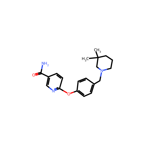 CC1(C)CCCN(Cc2ccc(Oc3ccc(C(N)=O)cn3)cc2)C1